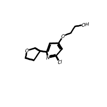 OCCOc1cc(Cl)nc(C2CCOC2)c1